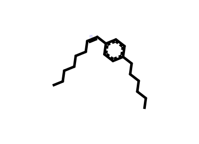 CCCCCC/C=[C]\c1ccc(CCCCCC)cc1